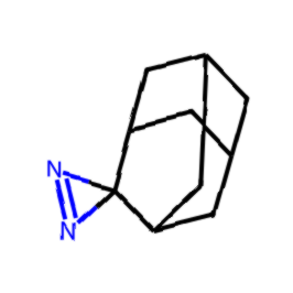 C1C2CC3CC1CC(C2)C31N=N1